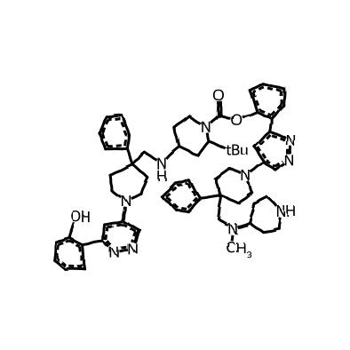 CN(CC1(c2ccccc2)CCN(c2cnnc(-c3ccccc3OC(=O)N3CCC(NCC4(c5ccccc5)CCN(c5cnnc(-c6ccccc6O)c5)CC4)CC3C(C)(C)C)c2)CC1)C1CCNCC1